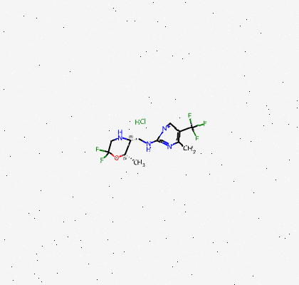 Cc1nc(NC[C@H]2NCC(F)(F)O[C@H]2C)ncc1C(F)(F)F.Cl